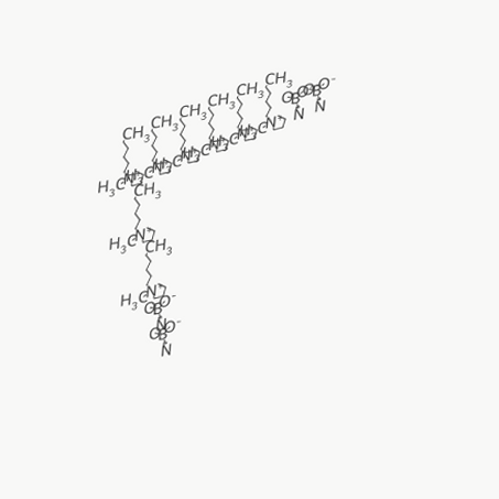 CCCCCC[N+]1(C)CCCC1.CCCCCC[N+]1(C)CCCC1.CCCCCC[N+]1(C)CCCC1.CCCCCC[N+]1(C)CCCC1.CCCCCC[N+]1(C)CCCC1.CCCCCC[N+]1(C)CCCC1.CCCCCC[N+]1(C)CCCC1.CCCCCC[N+]1(C)CCCC1.N#CB([O-])[O-].N#CB([O-])[O-].N#CB([O-])[O-].N#CB([O-])[O-]